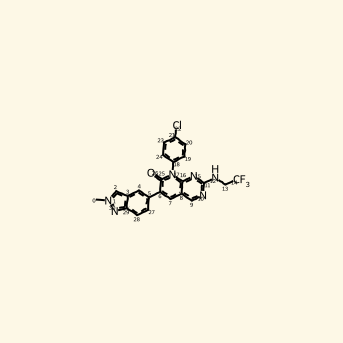 Cn1cc2cc(-c3cc4cnc(NCC(F)(F)F)nc4n(-c4ccc(Cl)cc4)c3=O)ccc2n1